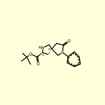 CC(C)(C)OC(=O)[C@@H]1C[C@]2(CN1)CC(=O)N(c1ccccc1)C2